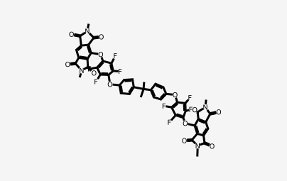 Cn1c(=O)c2cc3c(=O)n(C)c(=O)c3c(Oc3c(F)c(F)c(Oc4ccc(C(C)(C)c5ccc(Oc6c(F)c(F)c(Oc7c8c(=O)n(C)c(=O)c8cc8c(=O)n(C)c(=O)c78)c(F)c6F)cc5)cc4)c(F)c3F)c2c1=O